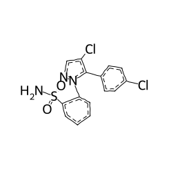 NS(=O)(=O)c1ccccc1-n1ncc(Cl)c1-c1ccc(Cl)cc1